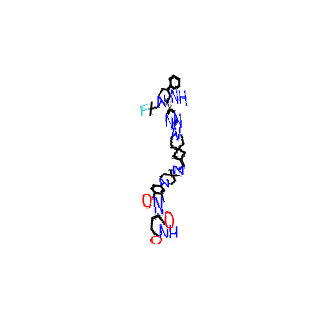 CC(C)(F)CN1CCc2c([nH]c3ccccc23)[C@H]1c1cnc(N2CCC3(CC2)CC(CN2CC4(CCN(c5ccc6c(c5)CN(C5CCC(=O)NC5=O)C6=O)CC4)C2)C3)nc1